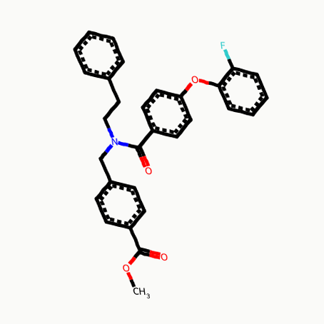 COC(=O)c1ccc(CN(CCc2ccccc2)C(=O)c2ccc(Oc3ccccc3F)cc2)cc1